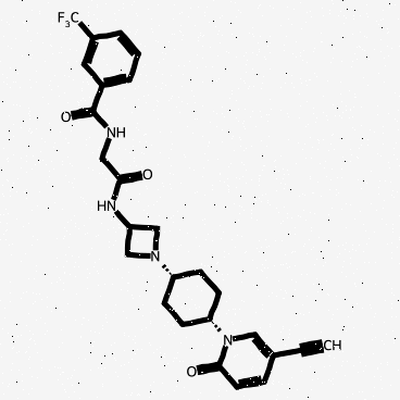 C#Cc1ccc(=O)n([C@H]2CC[C@@H](N3CC(NC(=O)CNC(=O)c4cccc(C(F)(F)F)c4)C3)CC2)c1